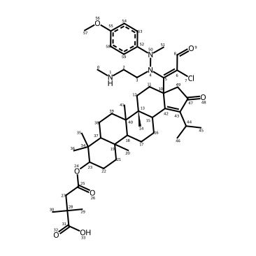 CNCCN(/C(=C(/Cl)C=O)C12CC[C@]3(C)C(CCC4C5(C)CCC(OC(=O)CC(C)(C)C(=O)O)C(C)(C)C5CCC43C)C1=C(C(C)C)C(=O)C2)N(C)c1ccc(OC)cc1